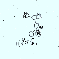 Cn1cc(-c2cc(-c3ccc(N4CC5CC(C4)N5C(=C=O)Cc4cccc(OC(COC(N)=O)C(C)(C)C)c4)nc3)c3cncnc3c2)cn1